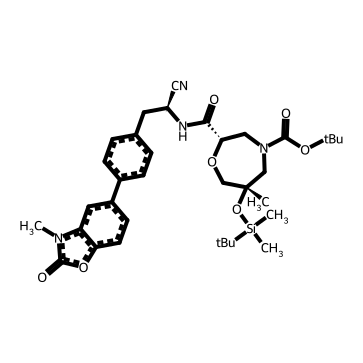 Cn1c(=O)oc2ccc(-c3ccc(C[C@@H](C#N)NC(=O)[C@@H]4CN(C(=O)OC(C)(C)C)C[C@](C)(O[Si](C)(C)C(C)(C)C)CO4)cc3)cc21